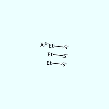 CC[S-].CC[S-].CC[S-].[Al+3]